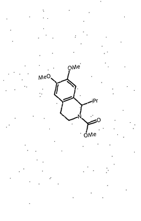 COC(=O)N1CCc2cc(OC)c(OC)cc2C1C(C)C